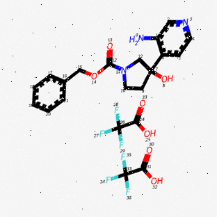 Nc1cnccc1C1(O)CCN(C(=O)OCc2ccccc2)C1.O=C(O)C(F)(F)F.O=C(O)C(F)(F)F